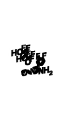 COCCN1C[C@@H](N)[C@H](c2ccc(F)c(F)c2)C1.O=C(O)C(F)(F)F.O=C(O)C(F)(F)F